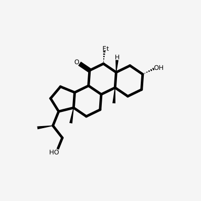 CC[C@H]1C(=O)C2C3CCC([C@H](C)CO)[C@@]3(C)CCC2[C@@]2(C)CC[C@@H](O)C[C@@H]12